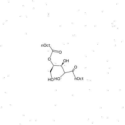 CCCCCCCCC(=O)O[C@H](CO)[C@@H](O)C(O)C(=O)CCCCCCCC